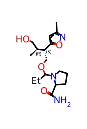 CCC(OC[C@@H](c1cc(C)no1)[C@@H](C)CO)N1CCCC1C(N)=O